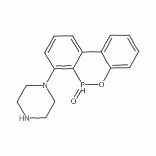 O=[PH]1Oc2ccccc2-c2cccc(N3CCNCC3)c21